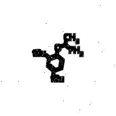 CC(P)Oc1ccc(C(C)(C)C)cc1C(C)(C)C